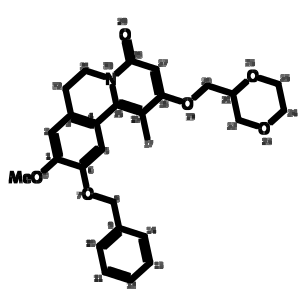 COc1cc2c(cc1OCc1ccccc1)-c1c(C)c(OCC3COCCO3)cc(=O)n1CC2